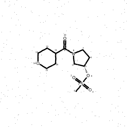 CS(=O)(=O)O[C@H]1CCN(C(=O)C2CCOCC2)C1